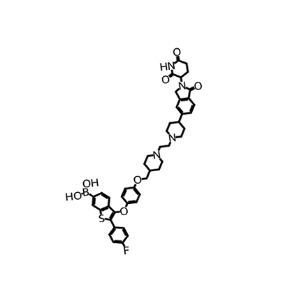 O=C1CCC(N2Cc3cc(C4CCN(CCN5CCC(COc6ccc(Oc7c(-c8ccc(F)cc8)sc8cc(B(O)O)ccc78)cc6)CC5)CC4)ccc3C2=O)C(=O)N1